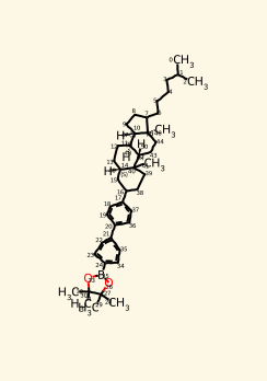 CC(C)CCCCC1CC[C@H]2[C@@H]3CC[C@H]4CC(c5ccc(-c6ccc(B7OC(C)(C)C(C)(C)O7)cc6)cc5)CCC4(C)[C@H]3CC[C@]12C